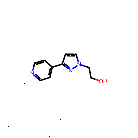 OCCn1ccc(-c2ccncc2)n1